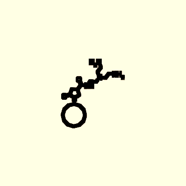 NCCN(CCN)CCNC(=O)C1CC(=O)N(C2CCCCCCCCCCC2)C1